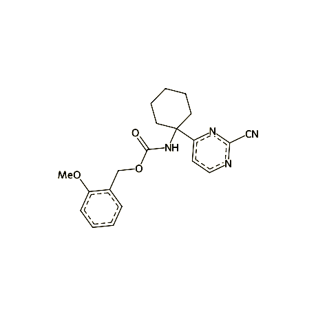 COc1ccccc1COC(=O)NC1(c2ccnc(C#N)n2)CCCCC1